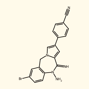 N#Cc1ccc(-c2cc3n(c2)Cc2cc(Br)ccc2N(N)C3=N)cc1